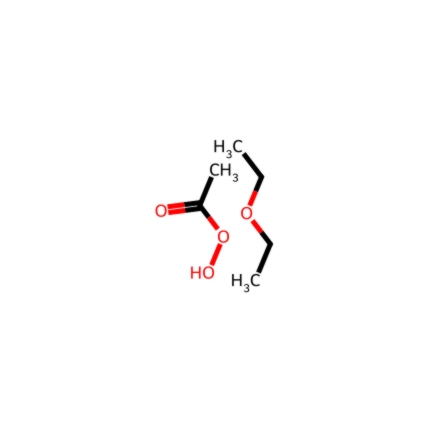 CC(=O)OO.CCOCC